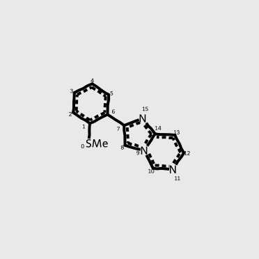 CSc1ccccc1-c1cn2cnccc2n1